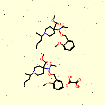 CCCC(C)N1CCC(C(=O)OC)(N(OCc2ccccc2OC)C(C)=O)CC1.CCCC(C)N1CCC(C(=O)OC)(N(OCc2ccccc2OC)C(C)=O)CC1.O=C(O)C(=O)O